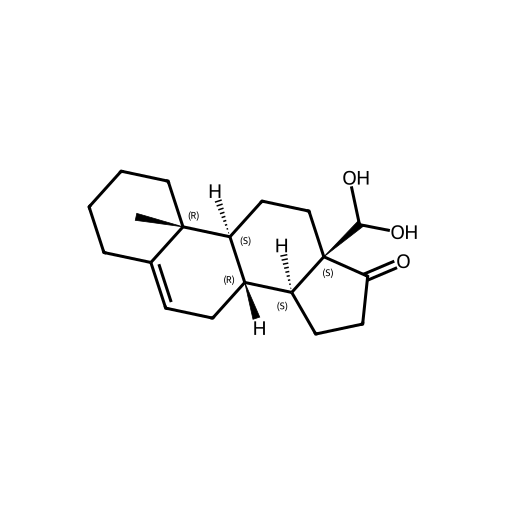 C[C@]12CCCCC1=CC[C@@H]1[C@@H]2CC[C@]2(C(O)O)C(=O)CC[C@@H]12